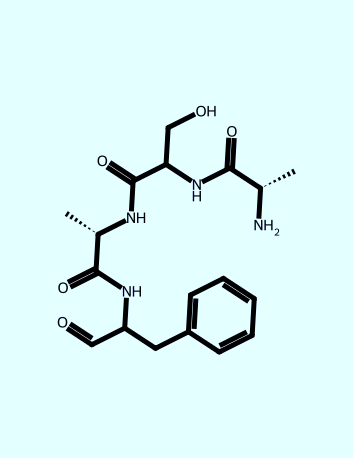 C[C@H](N)C(=O)NC(CO)C(=O)N[C@@H](C)C(=O)NC(C=O)Cc1ccccc1